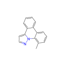 Cc1cccc2c3ccccc3c3ccnn3c12